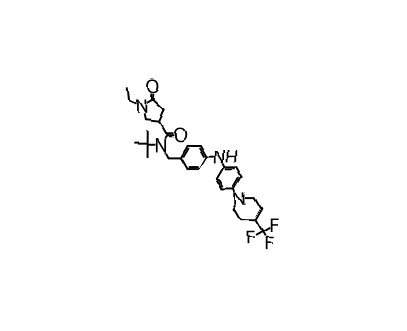 CCN1CC(C(=O)N(Cc2ccc(Nc3ccc(N4CCC(C(F)(F)F)CC4)cc3)cc2)C(C)(C)C)CC1=O